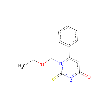 CCOCn1c(-c2ccccc2)cc(=O)[nH]c1=S